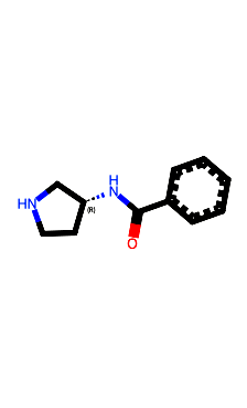 O=C(N[C@@H]1CCNC1)c1ccccc1